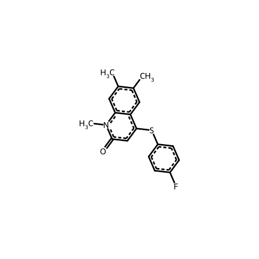 Cc1cc2c(Sc3ccc(F)cc3)cc(=O)n(C)c2cc1C